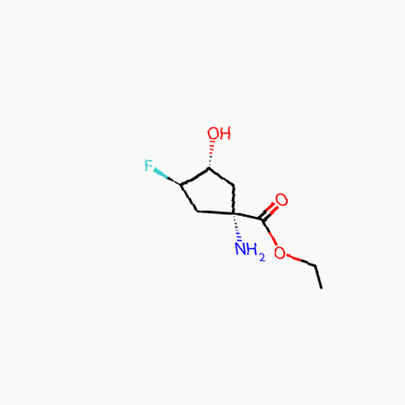 CCOC(=O)[C@]1(N)C[C@@H](O)[C@H](F)C1